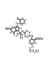 CCOC(=O)CCc1ccc(OC2CCN(CC(O)(c3cn(Cc4ccccc4F)c4cc(Br)ccc34)C(F)(F)F)CC2)c(OC)c1